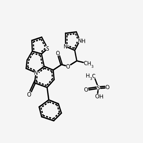 CC(OC(=O)c1cc(-c2ccccc2)c(=O)n2ccc3ccsc3c12)c1ncc[nH]1.CS(=O)(=O)O